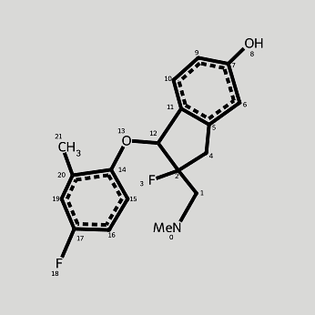 CNCC1(F)Cc2cc(O)ccc2C1Oc1ccc(F)cc1C